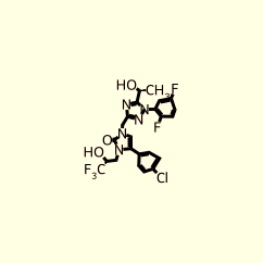 C[C@H](O)c1nc(Cn2cc(-c3ccc(Cl)cc3)n(C[C@H](O)C(F)(F)F)c2=O)nn1-c1cc(F)ccc1F